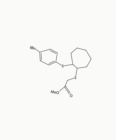 COC(=O)CSC1CCCCCC1Sc1ccc(C(C)(C)C)cc1